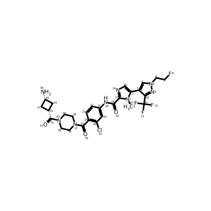 Cn1c(-c2cn(CCF)nc2C(F)(F)F)cnc1C(=O)Nc1ccc(C(=O)N2CCN(C(=O)[C@H]3C[C@@H](N)C3)CC2)c(Cl)c1